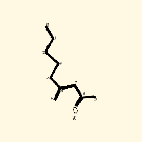 CC[CH]CCC(C)CC(C)=O